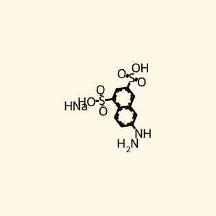 NNc1ccc2c(S(=O)(=O)O)cc(S(=O)(=O)O)cc2c1.[NaH]